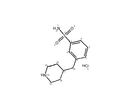 Cl.NS(=O)(=O)c1cccc(CC2CCNCC2)c1